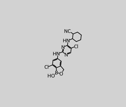 N#CC1CCCCC1Nc1nc(Nc2cc(Cl)c3c(c2)COB3O)ncc1Cl